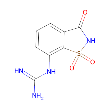 N=C(N)Nc1cccc2c1S(=O)(=O)NC2=O